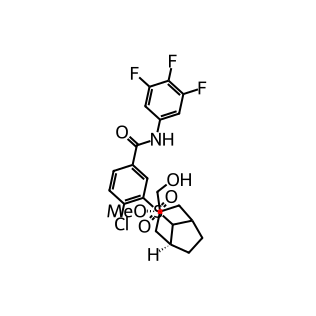 CO[C@]1(CO)CC2CC[C@@H](C1)C2S(=O)(=O)c1cc(C(=O)Nc2cc(F)c(F)c(F)c2)ccc1Cl